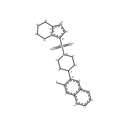 Cc1cc2ncccc2cc1C1CCN(S(=O)(=O)c2cnc3n2CCCC3)CC1